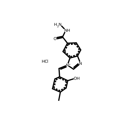 Cc1ccc(C=[N+]2C=Nc3ccc(C(=O)NN)cc32)c(O)c1.Cl